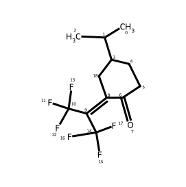 CC(C)C1CCC(=O)C(=C(C(F)(F)F)C(F)(F)F)C1